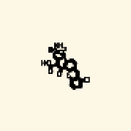 Cn1c(CS(N)(=O)=O)c(C(=O)O)c(=O)c2cc(Cc3c(F)cccc3Cl)ccc21